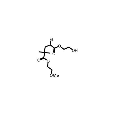 CCC(CC(C)(C)C(=O)OCCOC)C(=O)OCCO